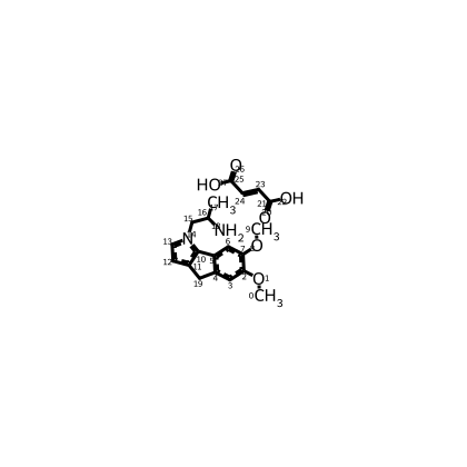 COc1cc2c(cc1OC)-c1c(ccn1CC(C)N)C2.O=C(O)C=CC(=O)O